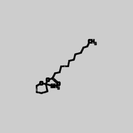 CCCCCCCCCCCC(=O)OC1([SiH3])CCCCO1